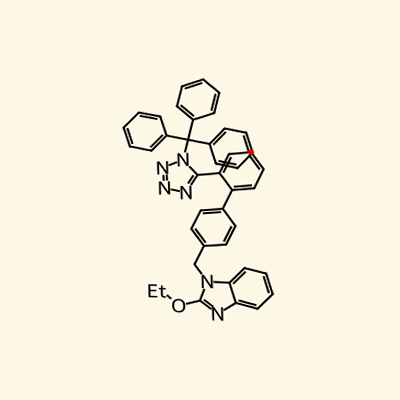 CCOc1nc2ccccc2n1Cc1ccc(-c2ccccc2-c2nnnn2C(c2ccccc2)(c2ccccc2)c2ccccc2)cc1